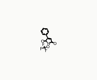 O=C1C=C(c2ccccc2)C(=O)N1OC(F)(F)F